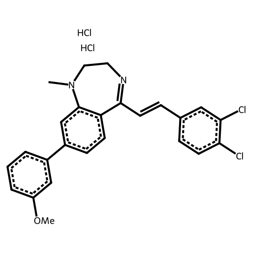 COc1cccc(-c2ccc3c(c2)N(C)CCN=C3C=Cc2ccc(Cl)c(Cl)c2)c1.Cl.Cl